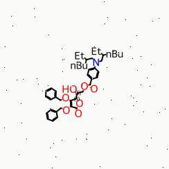 CCCCC(CC)CN(CC(CC)CCCC)c1ccc(C(=O)OC[C@H](O)[C@H]2OC(=O)C(OCc3ccccc3)=C2OCc2ccccc2)cc1